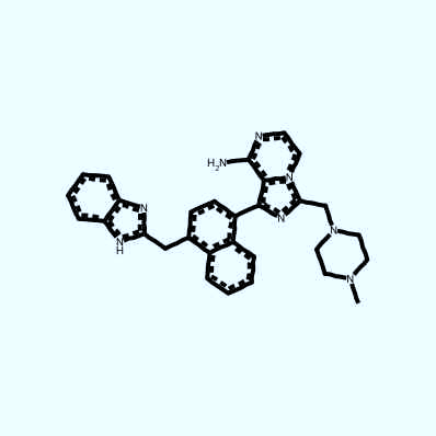 CN1CCN(Cc2nc(-c3ccc(Cc4nc5ccccc5[nH]4)c4ccccc34)c3c(N)nccn23)CC1